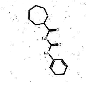 O=C(NC(=O)C1CCCCCC1)NC1=C[CH]CC=C1